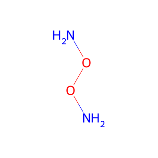 NOON